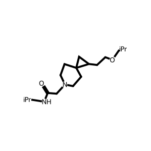 CC(C)NC(=O)CN1CCC2(CC1)CC2CCOC(C)C